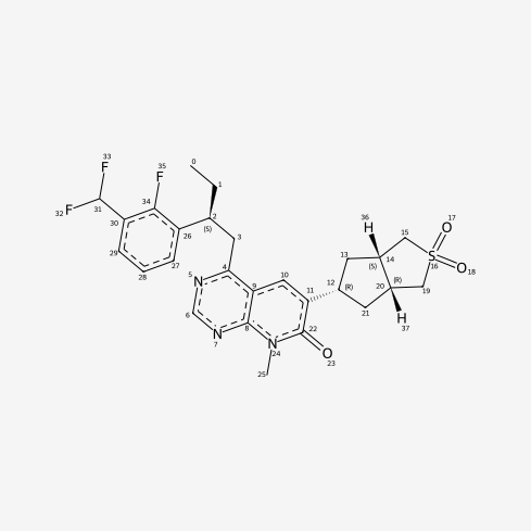 CC[C@@H](Cc1ncnc2c1cc([C@@H]1C[C@@H]3CS(=O)(=O)C[C@@H]3C1)c(=O)n2C)c1cccc(C(F)F)c1F